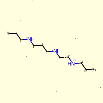 CCCNCCCNCCNCCC